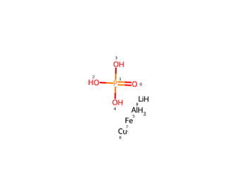 O=P(O)(O)O.[AlH3].[Cu].[Fe].[LiH]